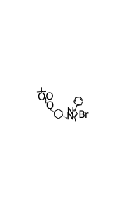 Cc1c(Br)c(-c2ccccc2)nn1C[C@H]1CC[C@H](COCC(=O)OC(C)(C)C)CC1